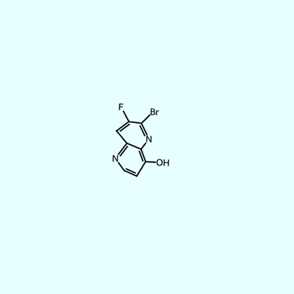 Oc1ccnc2cc(F)c(Br)nc12